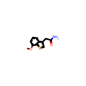 COc1cccc2c(CC(N)=O)csc12